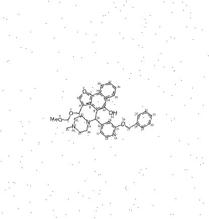 COCOCc1coc2c1c(C(c1ccnc(OCc3ccccc3)c1)N1CCN(C)CC1)c(O)c1ccccc12